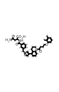 Cc1cccc(OCCCC(=O)N2CCCc3c(-c4cnn(Cc5cccc(C(=O)NC(CC(N)=O)C(=O)O)c5)c4)cccc32)c1C